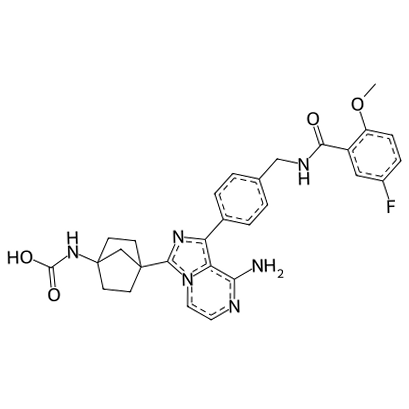 COc1ccc(F)cc1C(=O)NCc1ccc(-c2nc(C34CCC(NC(=O)O)(CC3)C4)n3ccnc(N)c23)cc1